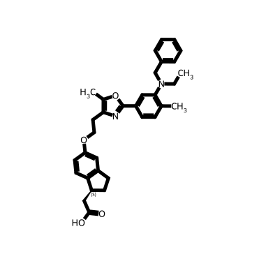 CCN(Cc1ccccc1)c1cc(-c2nc(CCOc3ccc4c(c3)CC[C@H]4CC(=O)O)c(C)o2)ccc1C